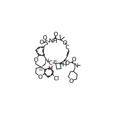 CN(C(=O)O[C@H]1C=CCOC(C)(C)C(=O)NS(=O)(=O)c2ccc3c(c2)N(C[C@@H]2CC[C@H]21)C[C@@]1(CCOc2cc(Cl)ccc21)CO3)C1CCOCC1